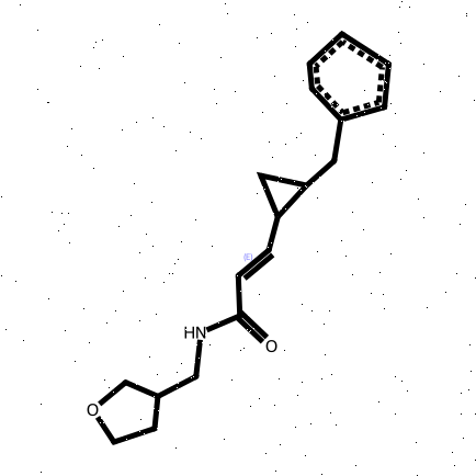 O=C(/C=C/C1CC1Cc1ccccc1)NCC1CCOC1